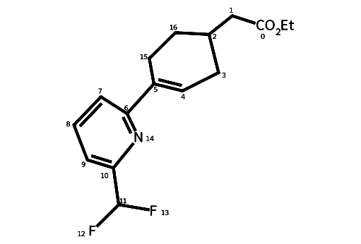 CCOC(=O)CC1CC=C(c2cccc(C(F)F)n2)CC1